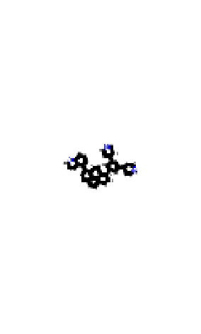 c1cc(-c2ccc3ccc4ccc(-c5cc(-c6ccncc6)cc(-c6ccncc6)c5)c5ccc2c3c45)c2cccnc2c1